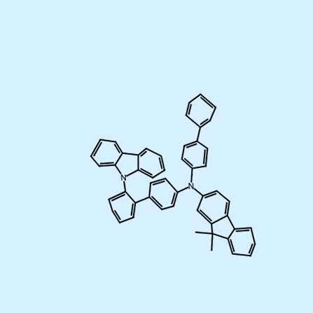 CC1(C)c2ccccc2-c2ccc(N(c3ccc(-c4ccccc4)cc3)c3ccc(-c4ccccc4-n4c5ccccc5c5ccccc54)cc3)cc21